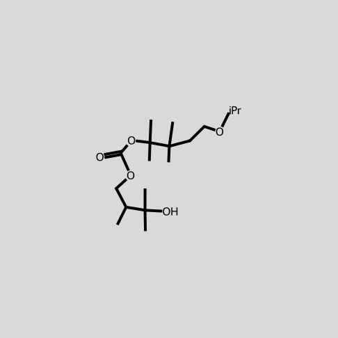 CC(C)OCCC(C)(C)C(C)(C)OC(=O)OCC(C)C(C)(C)O